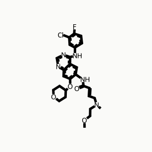 COCCN(C)CC=CC(=O)Nc1cc2c(Nc3ccc(F)c(Cl)c3)ncnc2cc1OC1CCOCC1